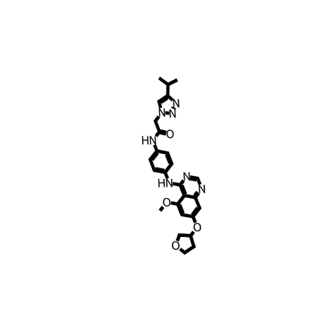 COc1cc(OC2CCOC2)cc2ncnc(Nc3ccc(NC(=O)Cn4cc(C(C)C)nn4)cc3)c12